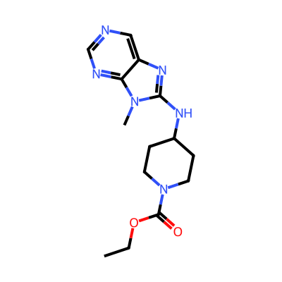 CCOC(=O)N1CCC(Nc2nc3cncnc3n2C)CC1